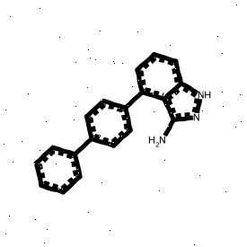 Nc1n[nH]c2cccc(-c3ccc(-c4ccccc4)cc3)c12